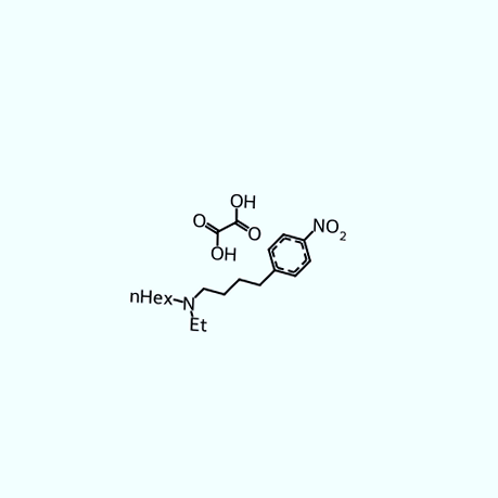 CCCCCCN(CC)CCCCc1ccc([N+](=O)[O-])cc1.O=C(O)C(=O)O